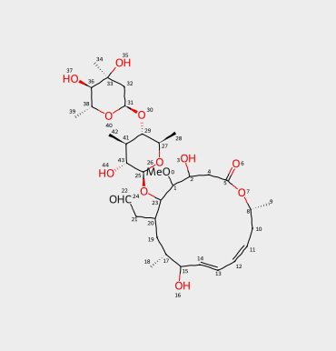 COC1C(O)CC(=O)O[C@H](C)C/C=C\C=C\C(O)[C@H](C)CC(CC=O)C1O[C@@H]1O[C@H](C)[C@@H](O[C@@H]2C[C@](C)(O)[C@H](O)[C@@H](C)O2)[C@H](C)[C@H]1O